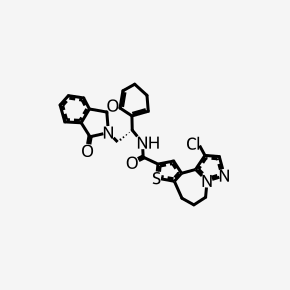 O=C(N[C@H](CN1C(=O)c2ccccc2C1=O)C1=CCCC=C1)c1cc2c(s1)CCCn1ncc(Cl)c1-2